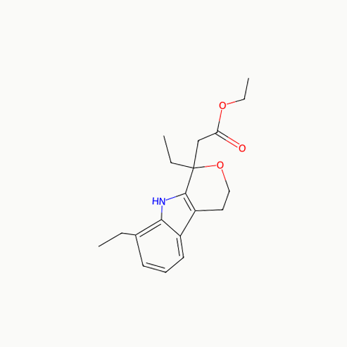 CCOC(=O)CC1(CC)OCCc2c1[nH]c1c(CC)cccc21